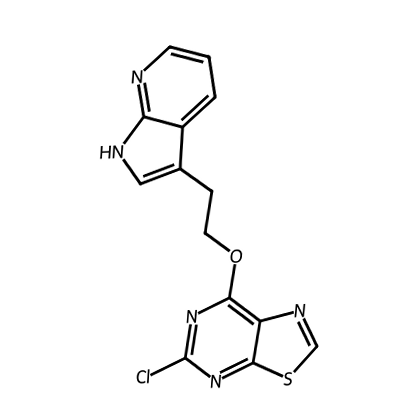 Clc1nc(OCCc2c[nH]c3ncccc23)c2ncsc2n1